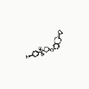 N#Cc1ccc(S(=O)(=O)N2CC[C@H](Oc3ccc4c(c3)CCN(C3CCC3)CC4)C2)cc1